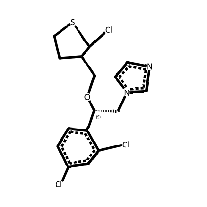 Clc1ccc([C@@H](Cn2ccnc2)OCC2CCSC2Cl)c(Cl)c1